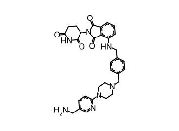 NCc1ccc(N2CCN(Cc3ccc(CNc4cccc5c4C(=O)N([C@@H]4CCC(=O)NC4=O)C5=O)cc3)CC2)nc1